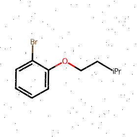 CC(C)CCOc1ccccc1Br